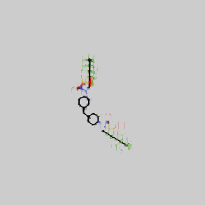 O=C(O)N(CC(F)(F)C(F)(F)C(F)(F)C(F)(F)C(F)(F)F)C1CCC(CC2CCC(N(CC(F)(F)C(F)(F)C(F)(F)C(F)(F)C(F)(F)F)C(=O)O)CC2)CC1